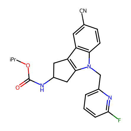 CC(C)OC(=O)NC1Cc2c(n(Cc3cccc(F)n3)c3ccc(C#N)cc23)C1